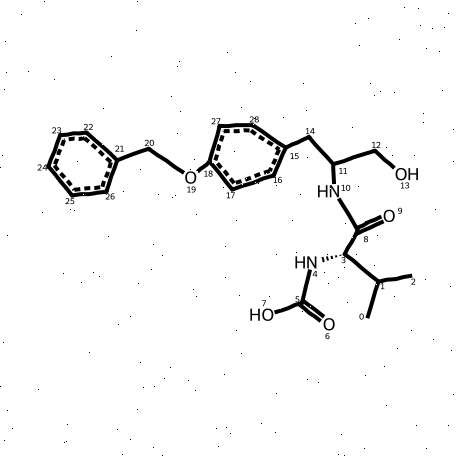 CC(C)[C@H](NC(=O)O)C(=O)NC(CO)Cc1ccc(OCc2ccccc2)cc1